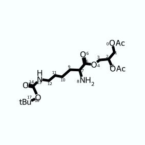 CC(=O)OCC(COC(=O)C(N)CCCCNC(=O)OC(C)(C)C)OC(C)=O